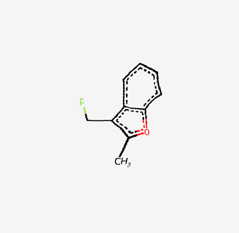 Cc1oc2ccccc2c1CF